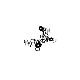 CCN(CC)CC(c1ccc(Cl)cc1)N1CCN(C(=O)C(Cc2ccc(Cl)cc2)NC(=O)CC2NCc3ccccc32)CC1